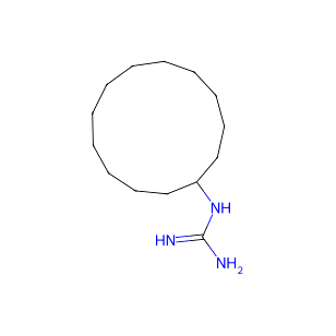 N=C(N)NC1CCCCCCCCCCCC1